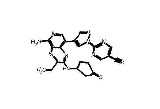 CCc1nc2c(N)ncc(-c3cnn(-c4ncc(C#N)cn4)c3)c2nc1NC1CCC(=O)C1